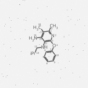 Cc1nc(Oc2ccccc2)c(NCC(C)C)c(N)c1C